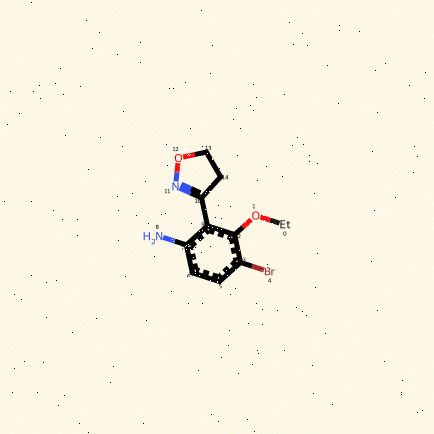 CCOc1c(Br)ccc(N)c1C1=NOCC1